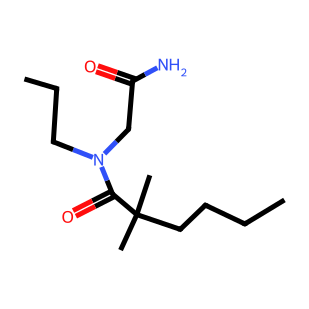 CCCCC(C)(C)C(=O)N(CCC)CC(N)=O